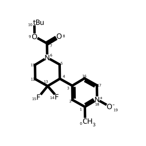 Cc1cc(C2CN(C(=O)OC(C)(C)C)CCC2(F)F)cc[n+]1[O-]